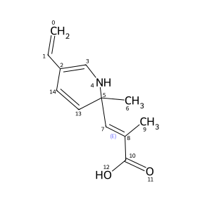 C=CC1=CNC(C)(/C=C(\C)C(=O)O)C=C1